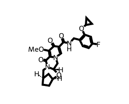 COc1c2n(cc(C(=O)NCc3ccc(F)cc3OC3CC3)c1=O)C[C@@H]1O[C@H]3CC[C@H](C3)CN1C2=O